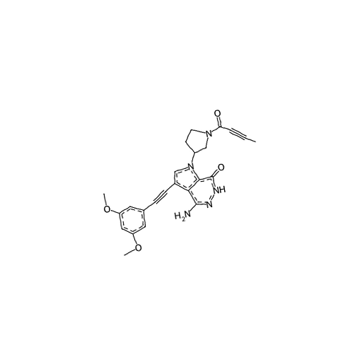 CC#CC(=O)N1CCC(n2cc(C#Cc3cc(OC)cc(OC)c3)c3c(N)n[nH]c(=O)c32)C1